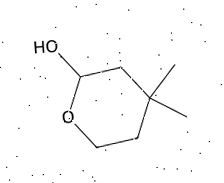 CC1(C)CCOC(O)C1